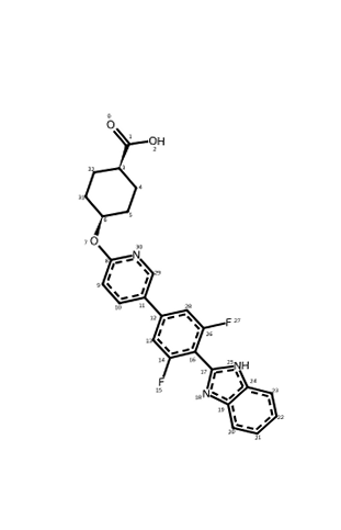 O=C(O)[C@H]1CC[C@@H](Oc2ccc(-c3cc(F)c(-c4nc5ccccc5[nH]4)c(F)c3)cn2)CC1